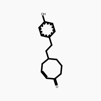 O=C1/C=C\CC(CCc2ccc(O)cc2)CCC1